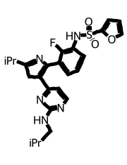 CC(C)CNc1nccc(C2=C(c3cccc(NS(=O)(=O)c4ccco4)c3F)N=C(C(C)C)C2)n1